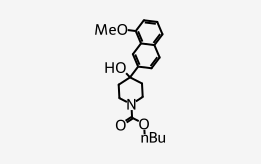 CCCCOC(=O)N1CCC(O)(c2ccc3cccc(OC)c3c2)CC1